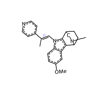 COc1ccc2c(c1)c1c(n2/C=C(\C)c2ccncc2)C2CCC1N(C)C2